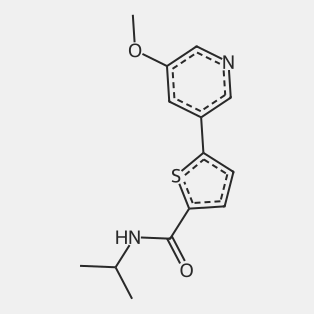 COc1cncc(-c2ccc(C(=O)NC(C)C)s2)c1